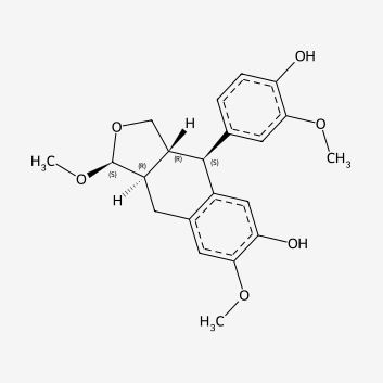 COc1cc([C@H]2c3cc(O)c(OC)cc3C[C@H]3[C@@H](OC)OC[C@H]23)ccc1O